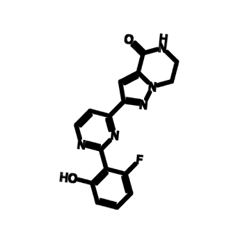 O=C1NCCn2nc(-c3ccnc(-c4c(O)cccc4F)n3)cc21